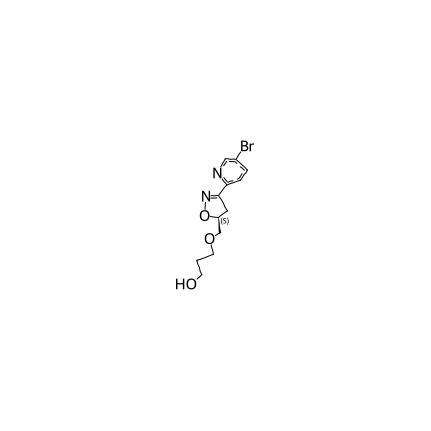 OCCCOC[C@@H]1CC(c2ccc(Br)cn2)=NO1